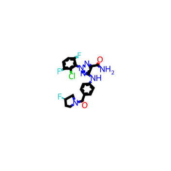 NC(=O)c1nn(-c2c(F)ccc(F)c2Cl)nc1Nc1ccc(C(=O)N2CC[C@@H](F)C2)cc1